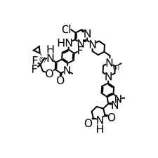 C[C@H]1CN(c2ccc3c(C4CCC(=O)NC4=O)nn(C)c3c2)CCN1CC1CCN(c2ncc(Cl)c(Nc3cc4c5c(c(=O)n(C)c4cc3F)OCC(F)(F)[C@H](C3CC3)N5)n2)CC1